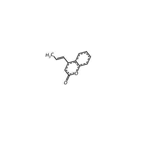 CC=Cc1cc(=O)oc2ccccc12